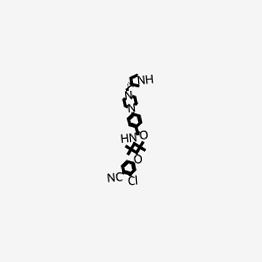 CC1(C)[C@H](NC(=O)c2ccc(N3CCN(C[C@H]4CCNC4)CC3)cc2)C(C)(C)[C@H]1Oc1ccc(C#N)c(Cl)c1